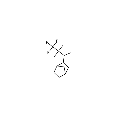 CC(C1CC2CCC1C2)C(C)(C)C(F)(F)F